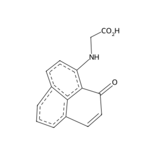 O=C(O)CNc1ccc2cccc3c2c1C(=O)C=C3